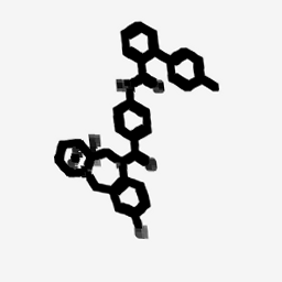 Cc1ccc(-c2ccccc2C(=O)Nc2ccc(C(=O)N3C[C@@H]4C5CCC(CC5)N4Cc4cc(Cl)ccc43)cc2)cc1